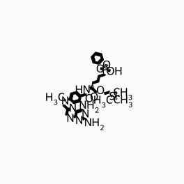 CN(Cc1cnc2nc(N)nc(N)c2n1)c1ccc(C(=O)N[C@@H](CCCCP(=O)(O)Oc2ccccc2)C(=O)OCC[Si](C)(C)C)cc1